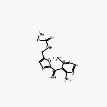 CC(C)(C)OC(=O)NCc1ccc(C(=N)c2c(N)ncnc2N)o1